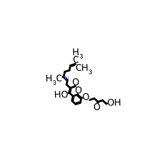 CC(C)=CCC/C(C)=C/Cc1c(O)c2cccc(OCCC(=O)CCO)c2oc1=O